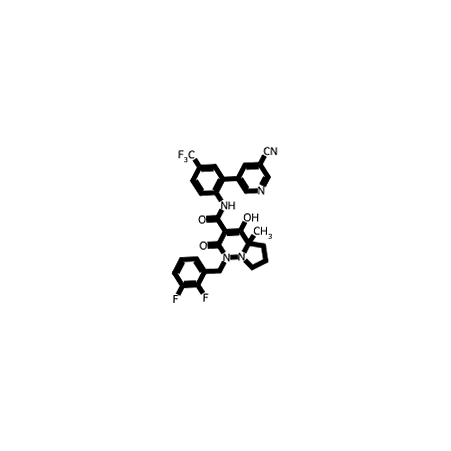 CC12CCCN1N(Cc1cccc(F)c1F)C(=O)C(C(=O)Nc1ccc(C(F)(F)F)cc1-c1cncc(C#N)c1)=C2O